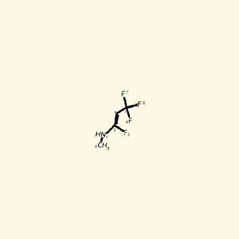 CN/C(F)=C/C(F)(F)F